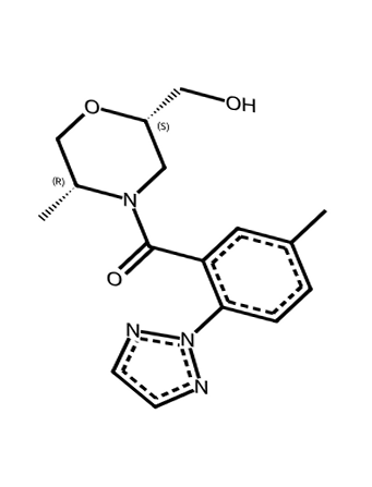 Cc1ccc(-n2nccn2)c(C(=O)N2C[C@@H](CO)OC[C@H]2C)c1